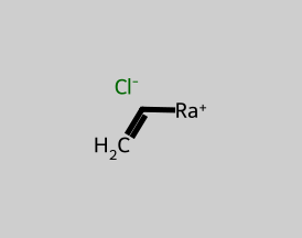 C=[CH][Ra+].[Cl-]